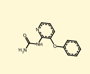 NC(=O)Nc1ncccc1Oc1ccccc1